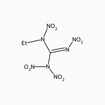 CCN(/C(=N\[N+](=O)[O-])N([N+](=O)[O-])[N+](=O)[O-])[N+](=O)[O-]